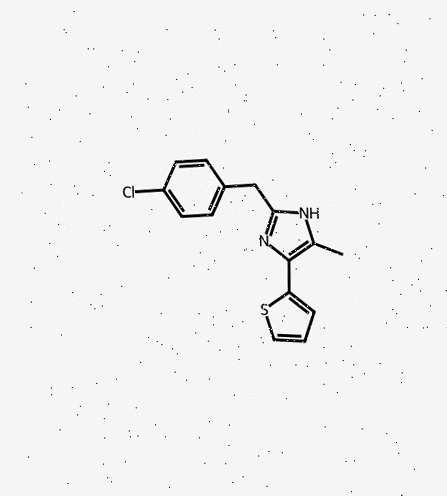 Cc1[nH]c(Cc2ccc(Cl)cc2)nc1-c1cccs1